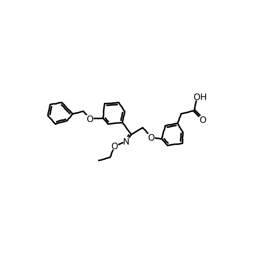 CCON=C(COc1cccc(CC(=O)O)c1)c1cccc(OCc2ccccc2)c1